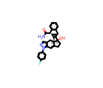 NC(=O)Cc1ccccc1CC[C@]1(O)CCC2=Cc3c(cnn3-c3ccc(F)cc3)C[C@@]21C1CC1